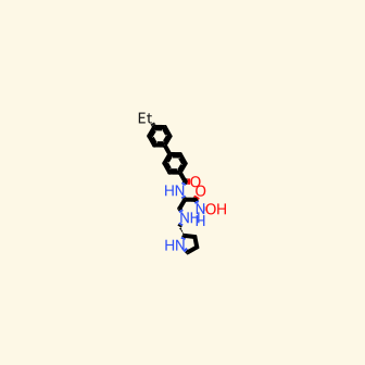 CCc1ccc(-c2ccc(C(=O)NC(CNC[C@@H]3CCCN3)C(=O)NO)cc2)cc1